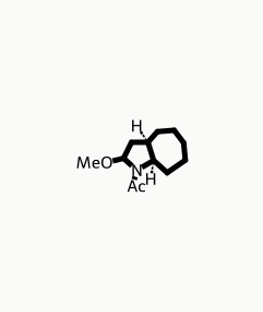 COC1C[C@H]2CCCCC[C@H]2N1C(C)=O